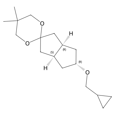 CC1(C)COC2(C[C@H]3C[C@H](OCC4CC4)C[C@H]3C2)OC1